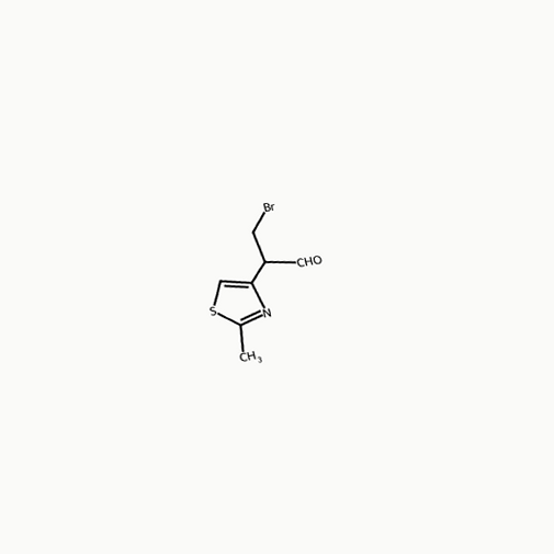 Cc1nc(C(C=O)CBr)cs1